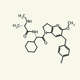 CN[C@@H](C)C(=O)N[C@H](C(=O)N1CCc2nc(OC)c(Cc3ccc(F)cc3)cc21)C1CCCCC1